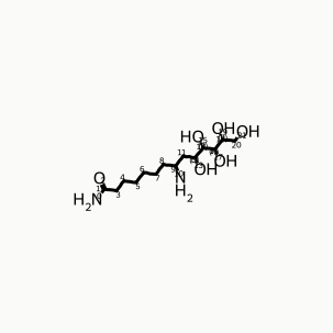 NC(=O)CCCCCCC(N)C[C@H](O)[C@@H](O)[C@H](O)[C@H](O)CO